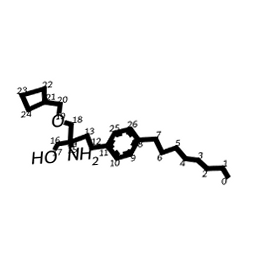 CCCCCCCCc1ccc(CCC(N)(CO)COCC2CCC2)cc1